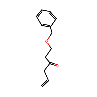 C=CCC(=O)CCOCc1ccccc1